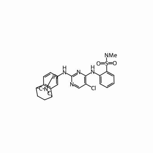 CNS(=O)(=O)c1ccccc1Nc1nc(Nc2ccc3c(c2)C2CCC3CN(C(C)C)C2)ncc1Cl